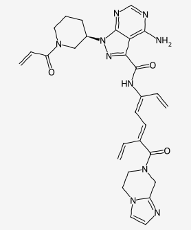 C=CC(=O)N1CCC[C@@H](n2nc(C(=O)N/C(C=C)=C/C=C(\C=C)C(=O)N3CCn4ccnc4C3)c3c(N)ncnc32)C1